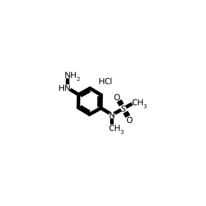 CN(c1ccc(NN)cc1)S(C)(=O)=O.Cl